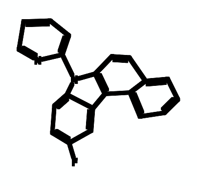 Fc1ccc2c(c1)c1c3ccccc3ccc1n2-c1ccccn1